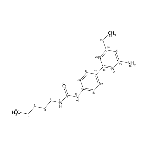 CCCCCNC(=O)Nc1ccc(-c2nc(N)cc(CC)n2)cc1